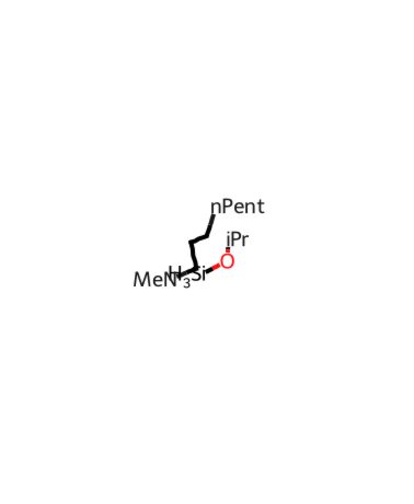 CC(C)O[SiH3].CCCCCCCCNC